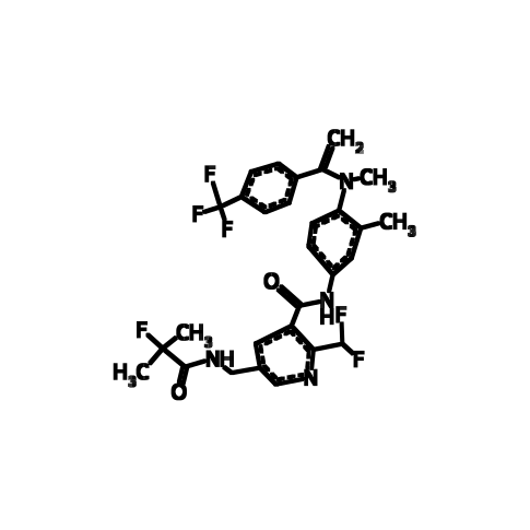 C=C(c1ccc(C(F)(F)F)cc1)N(C)c1ccc(NC(=O)c2cc(CNC(=O)C(C)(C)F)cnc2C(F)F)cc1C